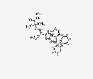 CC(C)(C)OC(=O)C(C)(C)O/N=C(\C(=O)O)c1cnn(NC(c2ccccc2)(c2ccccc2)c2ccccc2)n1